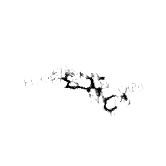 C[SiH](C)OC(=C1C=CC(c2nn(C3CCCN(C(=O)OC(C)(C)C)C3)c3ncnc(N)c23)S1)C(C)(C)C